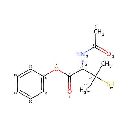 CC(=O)N[C@@H](C(=O)Oc1ccccc1)C(C)(C)S